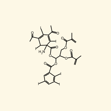 C=C(C)C(=O)OCC(OC(=O)C(=C)C)C(OC(=O)c1cc(I)cc(I)c1I)OC(=O)C1(N)C(I)=C(C(C)=O)C(I)=C(C(C)=O)C1I